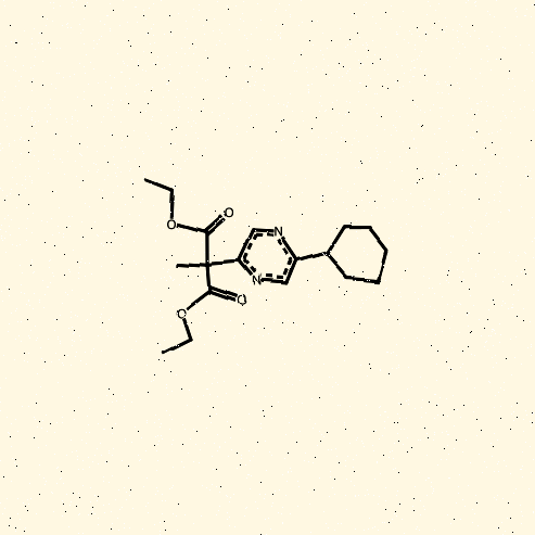 CCOC(=O)C(C)(C(=O)OCC)c1cnc(C2CCCCC2)cn1